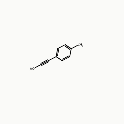 Cc1ccc(C#CO)cc1